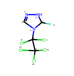 FC1NN=CN1C(Cl)(Cl)C(Cl)(Cl)Cl